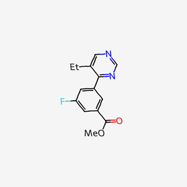 CCc1cncnc1-c1cc(F)cc(C(=O)OC)c1